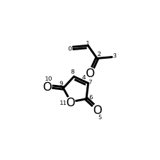 C=CC(C)=O.O=C1C=CC(=O)O1